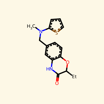 CCC1Oc2ccc(CN(C)c3cccs3)cc2NC1=O